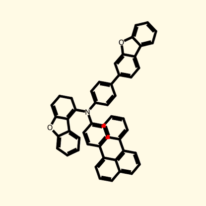 C1=c2oc3ccccc3c2=C(N(c2ccc(-c3ccc4c(c3)oc3ccccc34)cc2)c2ccc(-c3cccc4cccc(-c5ccccc5)c34)cc2)CC1